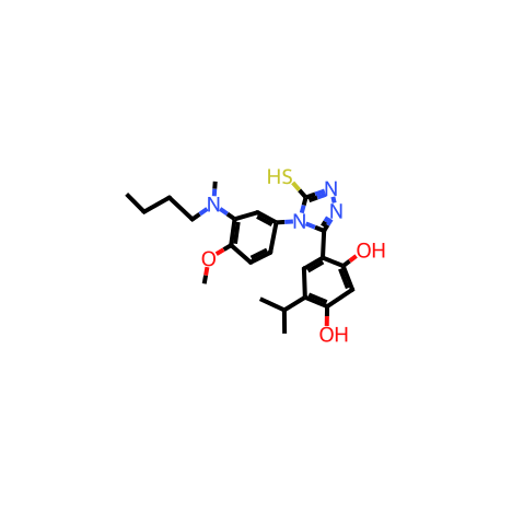 CCCCN(C)c1cc(-n2c(S)nnc2-c2cc(C(C)C)c(O)cc2O)ccc1OC